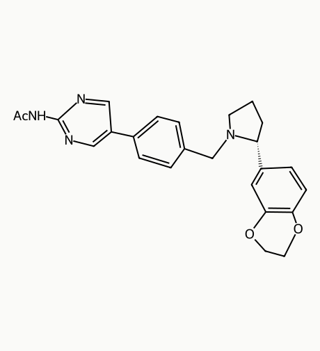 CC(=O)Nc1ncc(-c2ccc(CN3CCC[C@@H]3c3ccc4c(c3)OCCO4)cc2)cn1